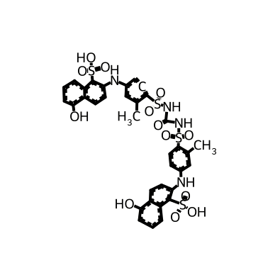 Cc1cc(Nc2ccc3c(O)cccc3c2S(=O)(=O)O)ccc1S(=O)(=O)NC(=O)NS(=O)(=O)c1ccc(Nc2ccc3c(O)cccc3c2S(=O)(=O)O)cc1C